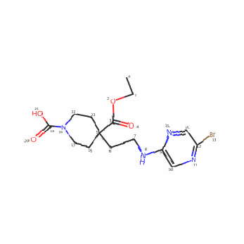 CCOC(=O)C1(CCNc2cnc(Br)cn2)CCN(C(=O)O)CC1